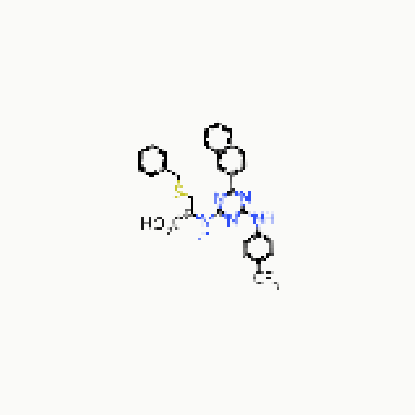 O=C(O)[C@H](CSCc1ccccc1)Nc1nc(Nc2ccc(C(F)(F)F)cc2)nc(-c2ccc3ccccc3c2)n1